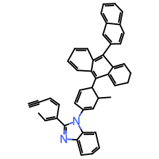 C#C/C=C\C(=C/C)c1nc2ccccc2n1C1=CC(C)C(c2c3c(c(-c4ccc5ccccc5c4)c4ccccc24)=CCCC=3)C=C1